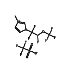 C[n+]1ccn(C(F)(F)C(F)OC(F)(F)F)c1.O=S(=O)([O-])C(F)(F)F